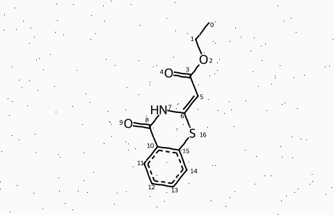 CCOC(=O)/C=C1\NC(=O)c2ccccc2S1